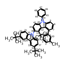 Cc1cccc(-c2cccc3c2c2c(C(C)(C)C)c(-n4c5ccc(C(C)(C)C)cc5c5cc(C(C)(C)C)ccc54)ccc2n3-c2ccccc2)c1